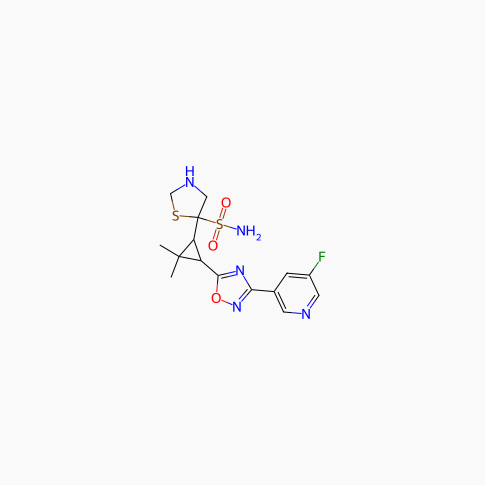 CC1(C)C(c2nc(-c3cncc(F)c3)no2)C1C1(S(N)(=O)=O)CNCS1